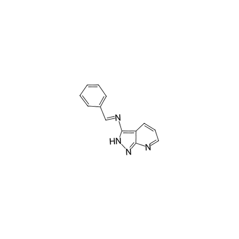 C(=N\c1[nH]nc2ncccc12)/c1ccccc1